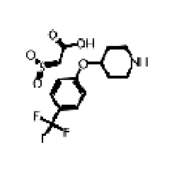 FC(F)(F)c1ccc(OC2CCNCC2)cc1.O=C(O)C=S(=O)=O